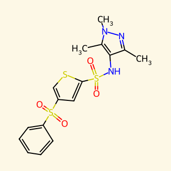 Cc1nn(C)c(C)c1NS(=O)(=O)c1cc(S(=O)(=O)c2ccccc2)cs1